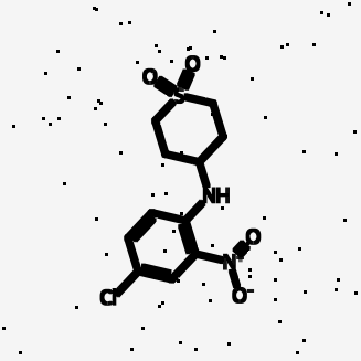 O=[N+]([O-])c1cc(Cl)ccc1NC1CCS(=O)(=O)CC1